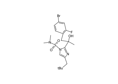 CN(C)S(=O)(=O)n1cc(CC(C)(C)C)nc1C(C)(O)Cc1ccc(Br)cc1F